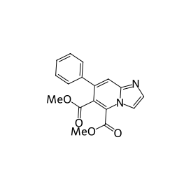 COC(=O)c1c(-c2ccccc2)cc2nccn2c1C(=O)OC